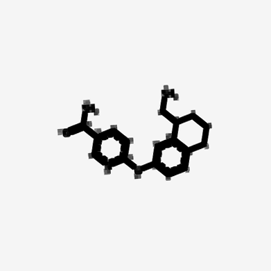 NCC1CCCc2ccc(Oc3ccc(C(N)=O)cn3)cc21